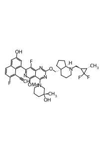 C#Cc1c(F)ccc2cc(O)cc(-c3nc(OC)c4c(N5CCC[C@@](C)(O)C5)nc(OC[C@]56CCC[C@H]5N(C[C@H]5[C@H](C)C5(F)F)CCC6)nc4c3F)c12